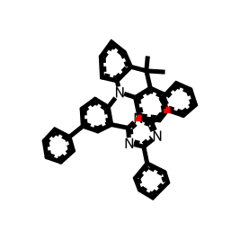 CC1(C)c2ccccc2N(c2ccc(-c3ccccc3)cc2-c2nc(-c3ccccc3)nc(-c3ccccc3)n2)c2ccccc21